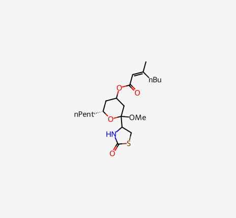 CCCCC[C@@H]1CC(OC(=O)/C=C(/C)CCCC)CC(OC)(C2CSC(=O)N2)O1